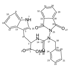 COC(=O)C(Cc1c[nH]c2ccccc12)NC(=O)N(Cc1ccccc1)N1C(=O)c2ccccc2C1=O